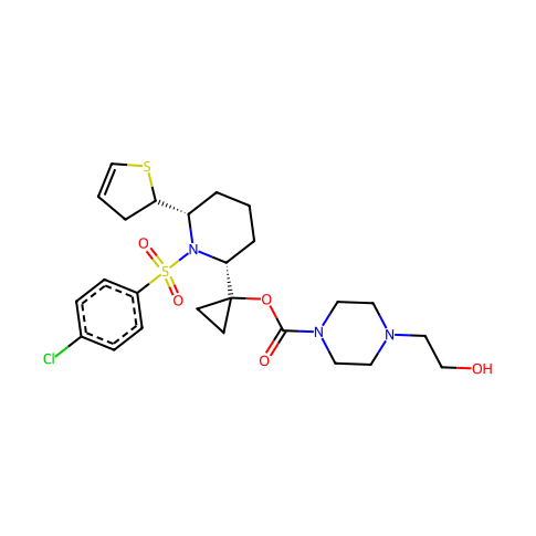 O=C(OC1([C@H]2CCC[C@@H](C3CC=CS3)N2S(=O)(=O)c2ccc(Cl)cc2)CC1)N1CCN(CCO)CC1